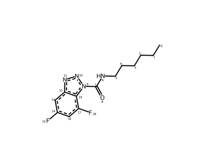 CCCCCCNC(=O)n1nnc2cc(F)cc(F)c21